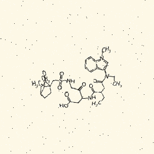 CCC(CC(=O)N(CC)c1cn(C)c2ccccc12)C(=O)NC(CC(=O)O)C(=O)CNS(=O)(=O)CC12CCC(CC1=O)C2(C)C